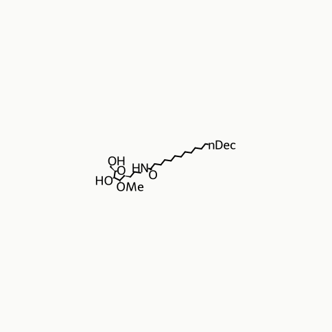 CCCCCCCCCCCCCCCCCCCCCC(=O)NCCC[C@@H]1O[C@H](CO)[C@@H](O)[C@H]1OC